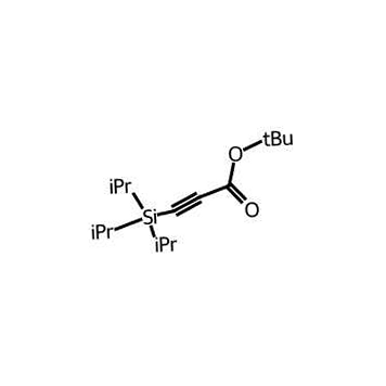 CC(C)[Si](C#CC(=O)OC(C)(C)C)(C(C)C)C(C)C